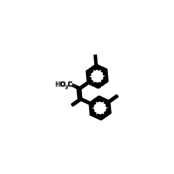 C/C(=C(\C(=O)O)c1cccc(C)c1)c1cccc(C)c1